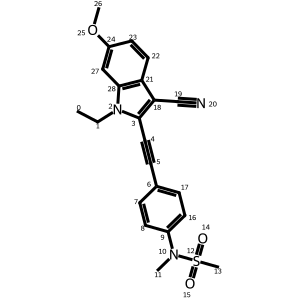 CCn1c(C#Cc2ccc(N(C)S(C)(=O)=O)cc2)c(C#N)c2ccc(OC)cc21